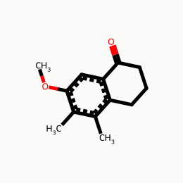 COc1cc2c(c(C)c1C)CCCC2=O